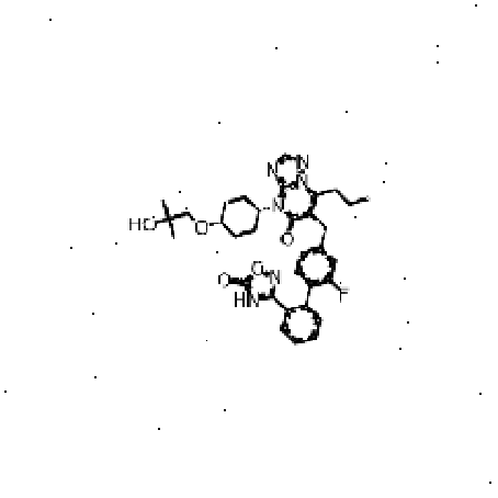 CCCc1c(Cc2ccc(-c3ccccc3-c3noc(=O)[nH]3)c(F)c2)c(=O)n([C@H]2CC[C@H](OCC(C)(C)O)CC2)c2ncnn12